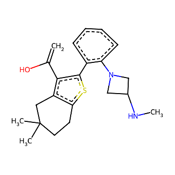 C=C(O)c1c(-c2ccccc2N2CC(NC)C2)sc2c1CC(C)(C)CC2